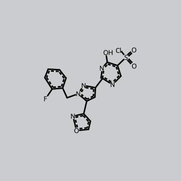 O=S(=O)(Cl)c1cnc(-c2cc(-c3ccon3)n(Cc3ccccc3F)n2)nc1O